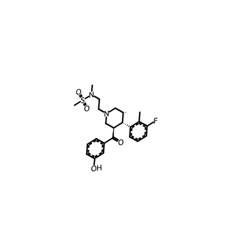 Cc1c(F)cccc1[C@H]1[CH]CN(CCN(C)S(C)(=O)=O)C[C@@H]1C(=O)c1cccc(O)c1